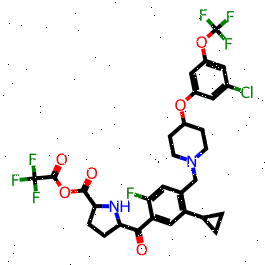 O=C(OC(=O)C(F)(F)F)C1CCC(C(=O)c2cc(C3CC3)c(CN3CCC(Oc4cc(Cl)cc(OC(F)(F)F)c4)CC3)cc2F)N1